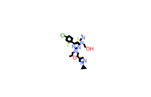 C/N=c1\sc2c(-c3ccc(Cl)cc3F)nc(N3CC(C)OC(c4cnn(C5CC5)c4)C3)nc2n1CCO